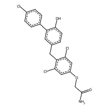 NC(=O)COc1cc(Cl)c(Cc2ccc(O)c(-c3ccc(Cl)cc3)c2)c(Cl)c1